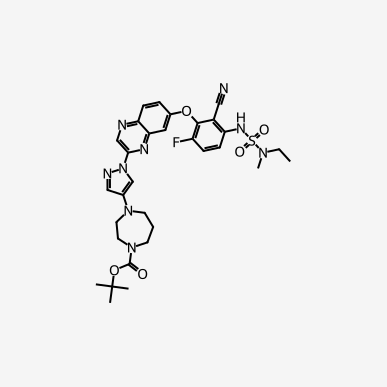 CCN(C)S(=O)(=O)Nc1ccc(F)c(Oc2ccc3ncc(-n4cc(N5CCCN(C(=O)OC(C)(C)C)CC5)cn4)nc3c2)c1C#N